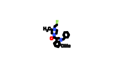 COc1cccc2c(C(=O)N3CCN(CCF)C(C)C3)cn(CC3CCCCC3)c12